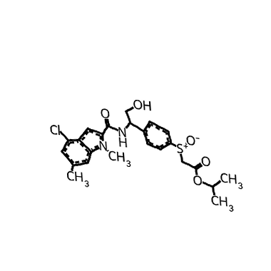 Cc1cc(Cl)c2cc(C(=O)NC(CO)c3ccc([S+]([O-])CC(=O)OC(C)C)cc3)n(C)c2c1